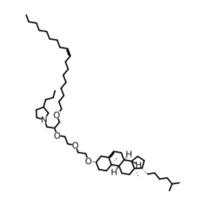 CCCCCCCC/C=C\CCCCCCCCOCC(CN1CCC(CCC)C1)OCCOCCO[C@H]1CC[C@@]2(C)C(=CC[C@H]3[C@@H]4CC[C@H](CCCCC(C)C)[C@@]4(C)CC[C@@H]32)C1